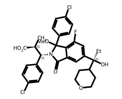 CC[C@@](O)(c1cc(F)c2c(c1)C(=O)N([C@H](c1ccc(Cl)cc1)[C@H](C)C(=O)O)C2(OC)c1ccc(Cl)cc1)C1CCOCC1